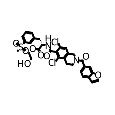 CS(=O)(=O)c1cccc(C[C@H](NC(=O)c2c(Cl)cc3c(c2Cl)CCN(C(=O)c2ccc4ccoc4c2)C3)C(=O)OCCO)c1